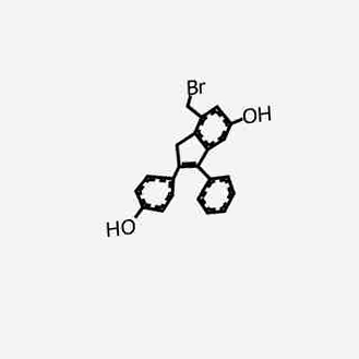 Oc1ccc(C2=C(c3ccccc3)c3cc(O)cc(CBr)c3C2)cc1